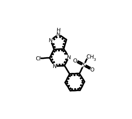 CS(=O)(=O)c1ccccc1-c1nc(Cl)c2n[nH]cc2n1